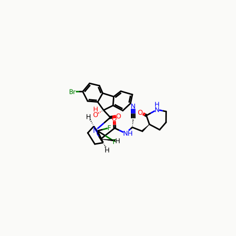 N#C[C@H](C[C@@H]1CCCNC1=O)NC(=O)[C@@H]1[C@H]2CC[C@H](CC2(F)F)N1C(=O)[C@]1(O)c2ccccc2-c2ccc(Br)cc21